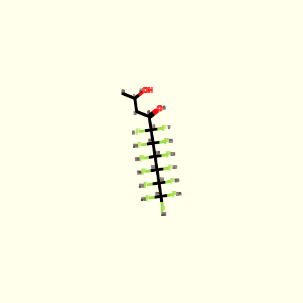 CC(O)CC(=O)C(F)(F)C(F)(F)C(F)(F)C(F)(F)C(F)(F)C(F)(F)F